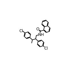 CC(c1ccc(Cl)cc1)C(CNC(=O)c1cccc2ccccc12)c1ccc(Cl)cc1